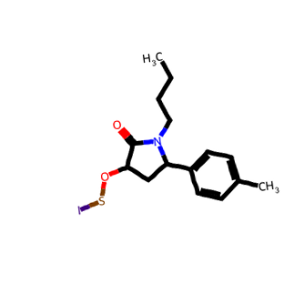 CCCCN1C(=O)C(OSI)CC1c1ccc(C)cc1